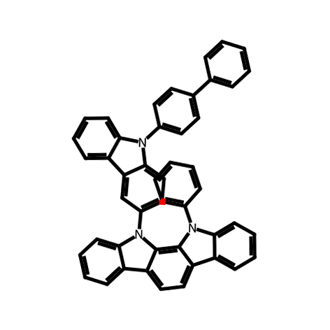 c1ccc(-c2ccc(-n3c4ccccc4c4cc(-n5c6ccccc6c6ccc7c8ccccc8n(-c8ccccc8)c7c65)ccc43)cc2)cc1